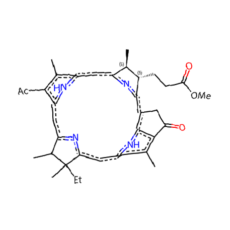 CCC1(C)c2cc3[nH]c4c(c5nc(cc6[nH]c(cc(n2)C1C)c(C(C)=O)c6C)[C@@H](C)[C@@H]5CCC(=O)OC)CC(=O)c4c3C